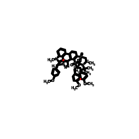 COc1ccc(CN(Cc2ccc(OC)cc2)S(=O)(=O)c2c(S(=O)(=O)C[C@H](C)N(C(=O)O)C(C)(C)C)ccc(-c3cccc4c3nc(N)n4C)c2-c2nnn(Cc3ccc(OC)cc3)n2)cc1